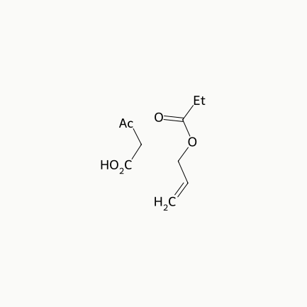 C=CCOC(=O)CC.CC(=O)CC(=O)O